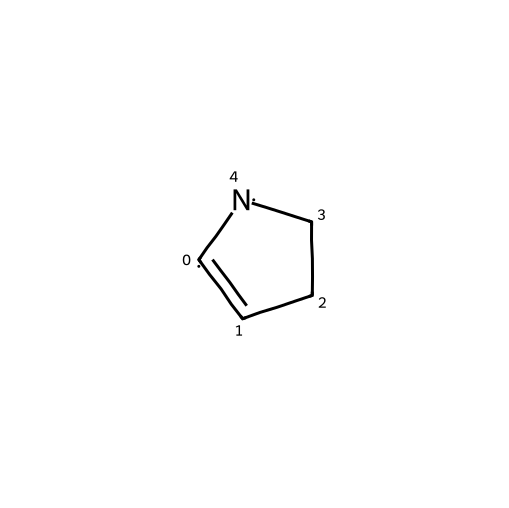 [C]1=CCC[N]1